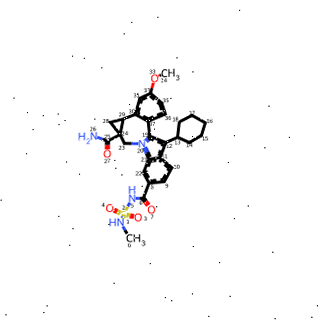 CNS(=O)(=O)NC(=O)c1ccc2c(C3CCCCC3)c3n(c2c1)CC1(C(N)=O)CC1c1cc(OC)ccc1-3